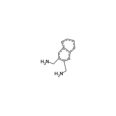 NCc1[c]c2ccccc2cc1CN